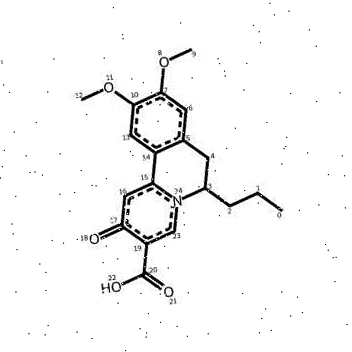 CCCC1Cc2cc(OC)c(OC)cc2-c2cc(=O)c(C(=O)O)cn21